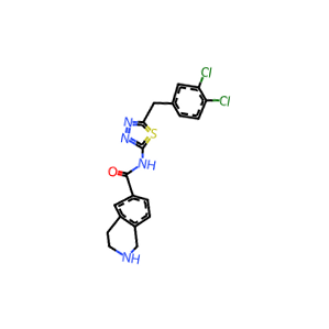 O=C(Nc1nnc(Cc2ccc(Cl)c(Cl)c2)s1)c1ccc2c(c1)CCNC2